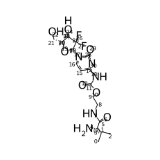 CC(C)[C@H](N)C(=O)NCCOC(=O)Nc1ccn([C@@H]2O[C@H](CO)[C@@H](O)C2(F)F)c(=O)n1